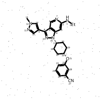 CCNc1cc2c(cn1)c(-c1cnn(C)c1)nn2[C@H]1CC[C@@H](Oc2cccc(C#N)c2)CC1